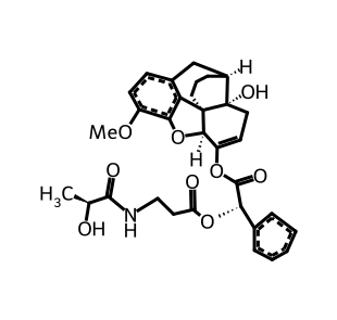 COc1ccc2c3c1O[C@@H]1C(OC(=O)[C@@H](OC(=O)CCNC(=O)[C@H](C)O)c4ccccc4)=CC[C@]4(O)[C@@H](CCC[C@@]314)C2